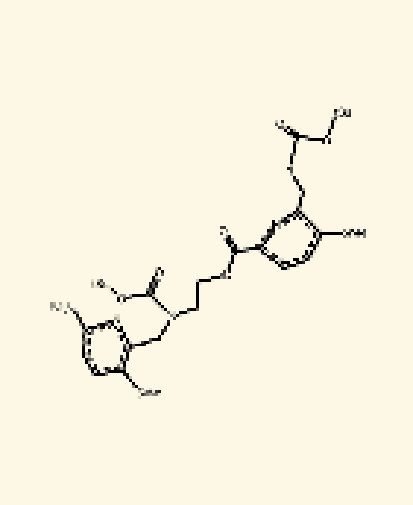 CSc1ccc(C(=O)O)nc1CN(CCOC(=O)c1ccc(SC)c(CNC(=O)OC(C)(C)C)n1)C(=O)OC(C)(C)C